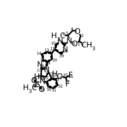 CC1COCC(C)N(c2ncc(-c3ccc4nc5n(c4c3)[C@@H]3C[C@H]5N(S(C)(=O)=O)c4cccc(OC(F)F)c43)cn2)O1